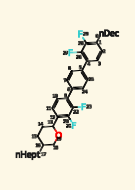 CCCCCCCCCCc1ccc(-c2ccc(-c3ccc(C4CCC(CCCCCCC)CO4)c(F)c3F)cc2)c(F)c1F